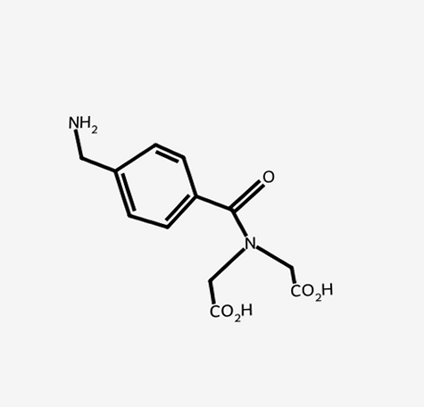 NCc1ccc(C(=O)N(CC(=O)O)CC(=O)O)cc1